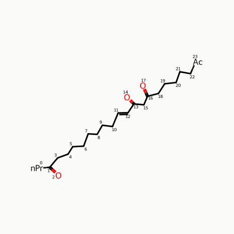 CCCC(=O)CCCCCCCC/C=C/C(=O)CC(=O)CCCCCC(C)=O